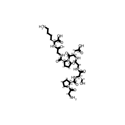 NCCCC[C@H](NC(=O)CNC(=O)[C@@H]1CCCN1C(=O)[C@H](CC(=O)O)NC(=O)CNC(=O)[C@H](CO)NC(=O)[C@@H]1CCCN1C(=O)CN)C(=O)O